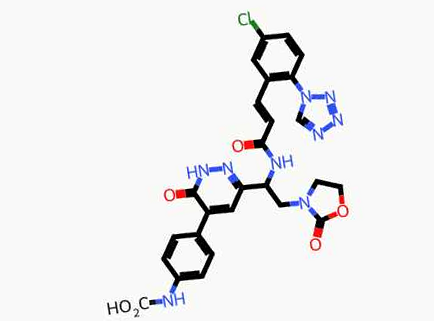 O=C(O)Nc1ccc(-c2cc(C(CN3CCOC3=O)NC(=O)C=Cc3cc(Cl)ccc3-n3cnnn3)n[nH]c2=O)cc1